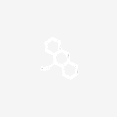 CC(=O)Oc1c2ccccc2cc2ccccc12